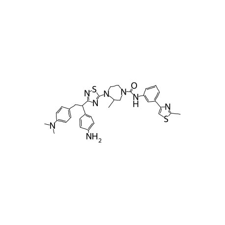 Cc1nc(-c2cccc(NC(=O)N3CCN(c4nc(C(Cc5ccc(N(C)C)cc5)c5ccc(N)cc5)ns4)C(C)C3)c2)cs1